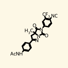 [C-]#[N+]c1ccc(N2C(=O)N3N=C(c4ccc(NC(C)=O)cc4)CC3(C)C2=O)cc1C(F)(F)F